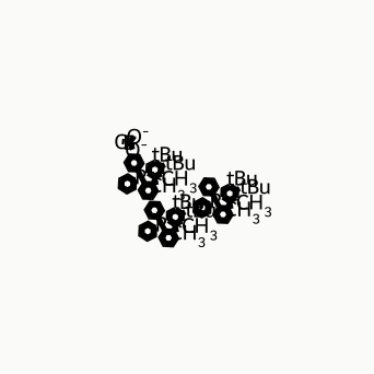 Cc1c([P+](c2ccccc2)(c2ccccc2)c2ccccc2)cc(C(C)(C)C)c(C(C)(C)C)c1C.Cc1c([P+](c2ccccc2)(c2ccccc2)c2ccccc2)cc(C(C)(C)C)c(C(C)(C)C)c1C.Cc1c([P+](c2ccccc2)(c2ccccc2)c2ccccc2)cc(C(C)(C)C)c(C(C)(C)C)c1C.[O-]B([O-])[O-]